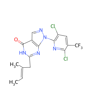 C/C=C(\C)Cc1nc2c(cnn2-c2nc(Cl)c(C(F)(F)F)cc2Cl)c(=O)[nH]1